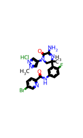 Cl.Cn1cc(N2CC(C)(c3cc(NC(=O)c4ccc(Br)cn4)ccc3F)N=C(N)C2=O)cn1